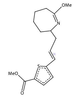 COC(=O)c1ccc(/C=C/CC2CCCCC(OC)=N2)s1